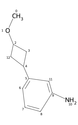 COC1CC(c2cccc(N)c2)C1